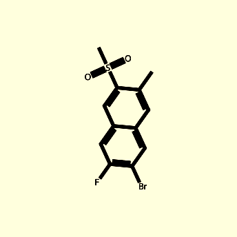 Cc1cc2cc(Br)c(F)cc2cc1S(C)(=O)=O